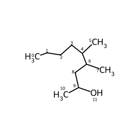 CCCCC(C)C(C)CC(C)O